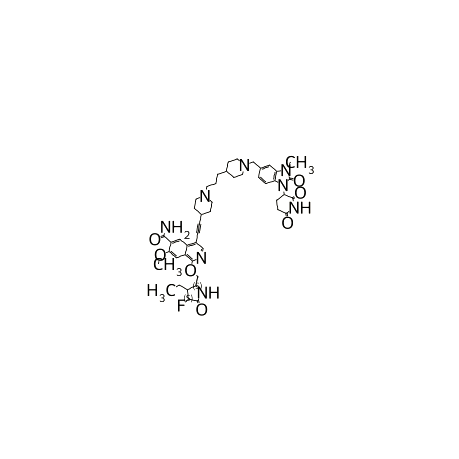 CCC1[C@H](F)C(=O)N[C@@H]1COc1ncc(C#CC2CCN(CCCC3CCN(Cc4ccc5c(c4)n(C)c(=O)n5C4CCC(=O)NC4=O)CC3)CC2)c2cc(C(N)=O)c(OC)cc12